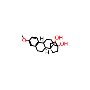 COc1ccc2c(c1)CC[C@@H]1[C@@H]2CC[C@@]2(C)[C@]13CC[C@@]2(O)[C@@H](O)C3